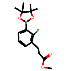 COC(=O)CCc1cccc(B2OC(C)(C)C(C)(C)O2)c1F